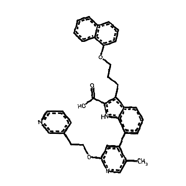 Cc1cnc(OCCc2cccnc2)cc1-c1cccc2c(CCCOc3cccc4ccccc34)c(C(=O)O)[nH]c12